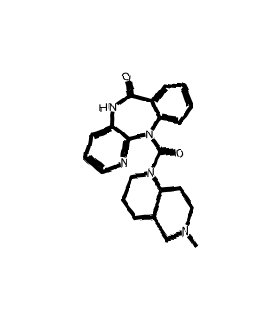 CN1CCC2C(CCCN2C(=O)N2c3ccccc3C(=O)Nc3cccnc32)C1